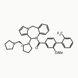 COc1cc(C(=O)N2c3ccccc3Cn3[c]ccc3C2N2CCC[C@H]2CN2CCCC2)ccc1-c1ccccc1C(F)(F)F